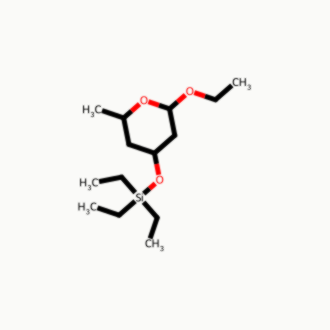 CCOC1CC(O[Si](CC)(CC)CC)CC(C)O1